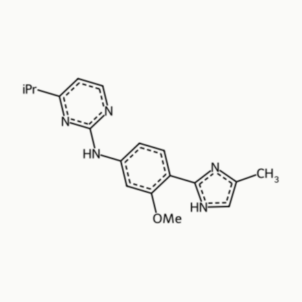 COc1cc(Nc2nccc(C(C)C)n2)ccc1-c1nc(C)c[nH]1